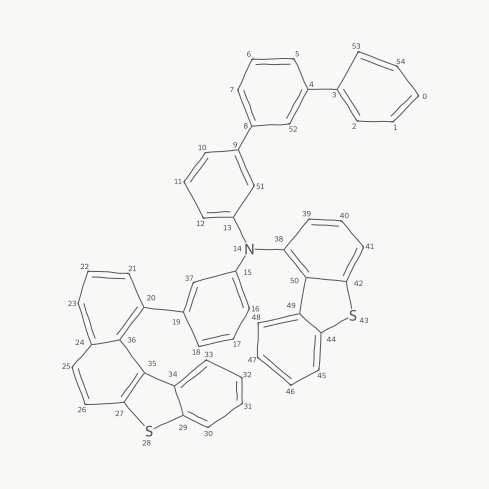 c1ccc(-c2cccc(-c3cccc(N(c4cccc(-c5cccc6ccc7sc8ccccc8c7c56)c4)c4cccc5sc6ccccc6c45)c3)c2)cc1